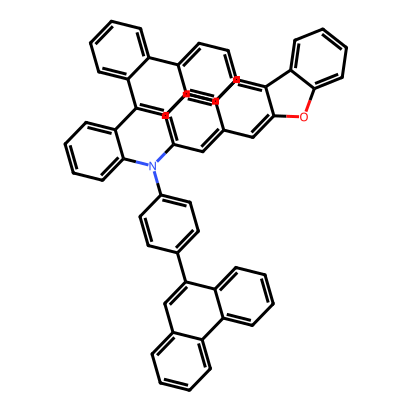 c1ccc(N(c2ccc(-c3cc4ccccc4c4ccccc34)cc2)c2ccc3cc4c(cc3c2)oc2ccccc24)c(-c2cc3ccccc3c3ccccc23)c1